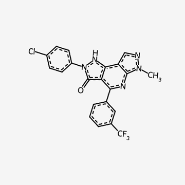 Cn1ncc2c3[nH]n(-c4ccc(Cl)cc4)c(=O)c3c(-c3cccc(C(F)(F)F)c3)nc21